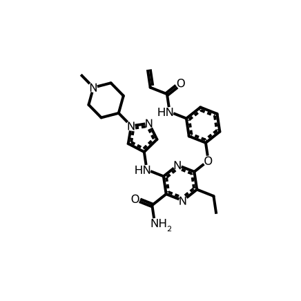 C=CC(=O)Nc1cccc(Oc2nc(Nc3cnn(C4CCN(C)CC4)c3)c(C(N)=O)nc2CC)c1